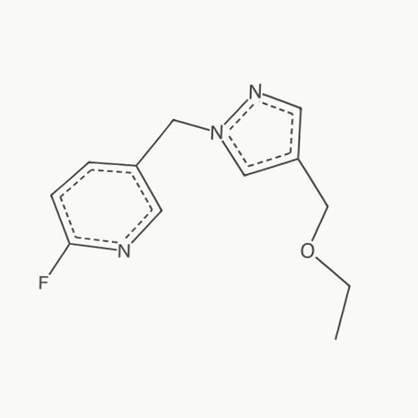 CCOCc1cnn(Cc2ccc(F)nc2)c1